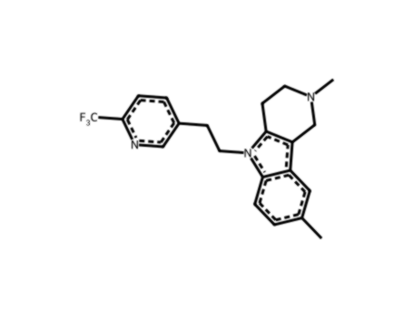 Cc1ccc2c(c1)c1c(n2CCc2ccc(C(F)(F)F)nc2)CCN(C)C1